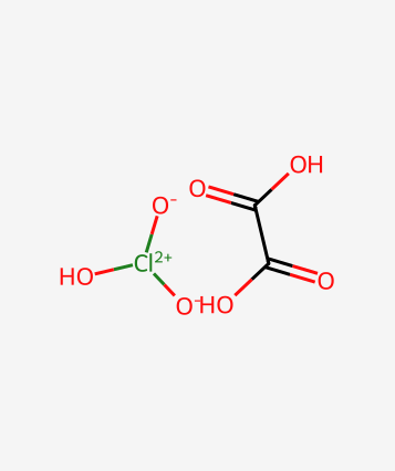 O=C(O)C(=O)O.[O-][Cl+2]([O-])O